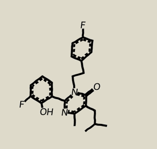 Cc1nc(-c2cccc(F)c2O)n(CCc2ccc(F)cc2)c(=O)c1CC(C)C